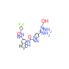 Cc1ccc(-c2noc(C3CC(F)(F)C3)n2)cc1NC(=O)c1cnc2cc(/C(N)=C/N(N)CCO)ccn12